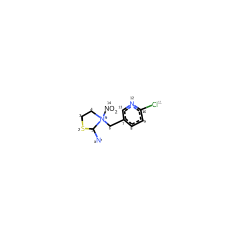 [N]C1SCC[N+]1(Cc1ccc(Cl)nc1)[N+](=O)[O-]